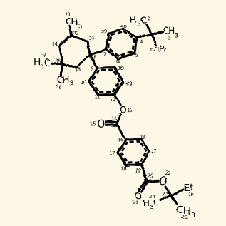 CCCC(C)(C)c1ccc(C2(c3ccc(OC(=O)c4ccc(C(=O)OC(C)(C)CC)cc4)cc3)CC(C)CC(C)(C)C2)cc1